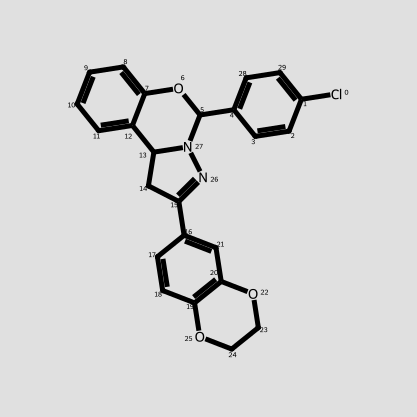 Clc1ccc(C2Oc3ccccc3C3CC(c4ccc5c(c4)OCCO5)=NN32)cc1